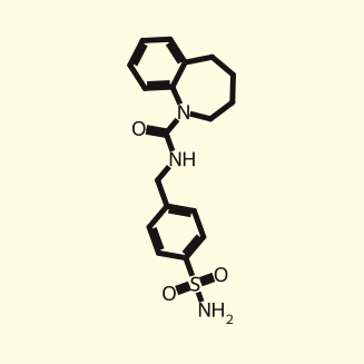 NS(=O)(=O)c1ccc(CNC(=O)N2CCCCc3ccccc32)cc1